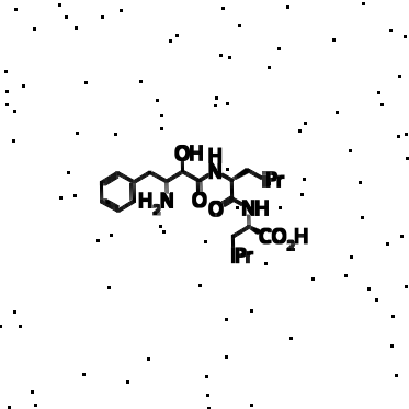 CC(C)C[C@H](NC(=O)C(O)C(N)Cc1ccccc1)C(=O)N[C@H](CC(C)C)C(=O)O